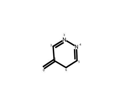 C=C1C=NN=CC1